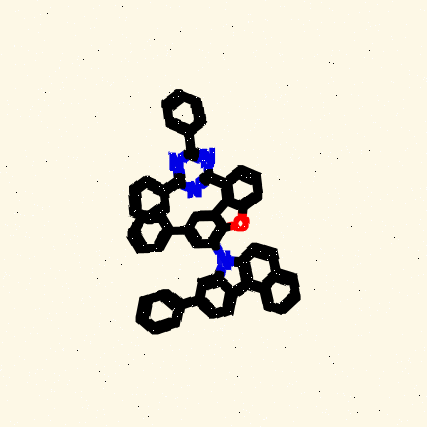 c1ccc(-c2cc(-n3c4cc(-c5ccccc5)ccc4c4c5ccccc5ccc43)c3oc4cccc(-c5nc(-c6ccccc6)nc(-c6ccccc6)n5)c4c3c2)cc1